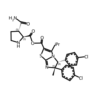 CC(C)C1=C(C(=O)OC(=O)[C@H]2NCC[C@@H]2C(N)=O)SC2=N[C@@](C)(c3ccc(Cl)cc3)[C@@H](c3ccc(Cl)cc3)N21